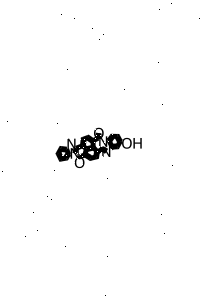 O=c1c2ccc3c4c(ccc(c24)c2nc4ccccc4n12)c(=O)n1c2ccc(O)cc2nc31